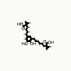 O=C(O)C1(CCCCCCc2cc(CCCCC3(C(=O)O)CC3)cc(O)c2O)CC1